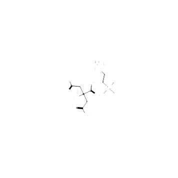 C[N+](C)(C)CCO.O=C([O-])CC(O)(CC(=O)[O-])C(=O)[O-].[Mg+2]